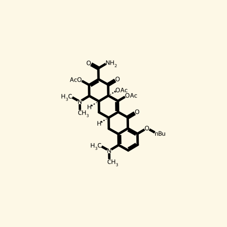 CCCCOc1ccc(N(C)C)c2c1C(=O)C1=C(OC(C)=O)[C@]3(OC(C)=O)C(=O)C(C(N)=O)=C(OC(C)=O)C(N(C)C)[C@@H]3C[C@@H]1C2